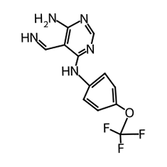 N=Cc1c(N)ncnc1Nc1ccc(OC(F)(F)F)cc1